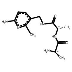 Cc1nc(N)ccc1CNC(=O)[C@H](C)NC(=O)[C@@H](C)N